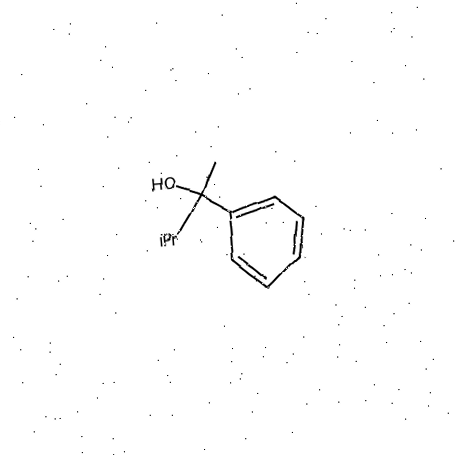 CC(C)C(C)(O)c1cc[c]cc1